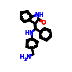 NCc1ccc(NC(=C2C(=O)Nc3ccccc32)c2ccccc2)cc1